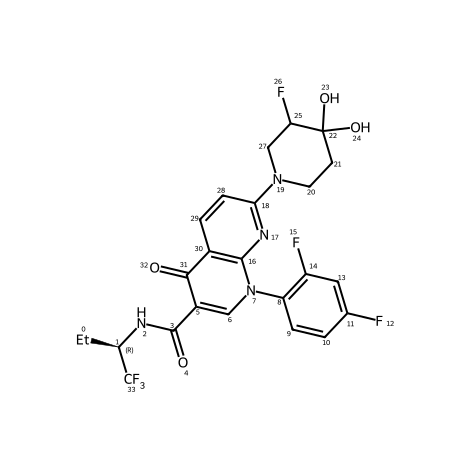 CC[C@@H](NC(=O)c1cn(-c2ccc(F)cc2F)c2nc(N3CCC(O)(O)C(F)C3)ccc2c1=O)C(F)(F)F